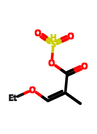 CCOC=C(C)C(=O)O[SH](=O)=O